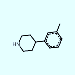 Cc1cccc(C2CCNCC2)c1